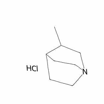 CC1CN2CCC1CC2.Cl